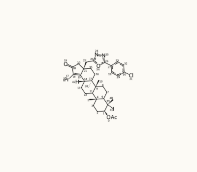 CC(=O)O[C@H]1CC[C@@]2(C)C(CC[C@]3(C)C2CC[C@@H]2C4=C(C(C)C)C(=O)C[C@]4(Cc4nnc(-c5ccc(Cl)cc5)o4)CC[C@]23C)[C@]1(C)I